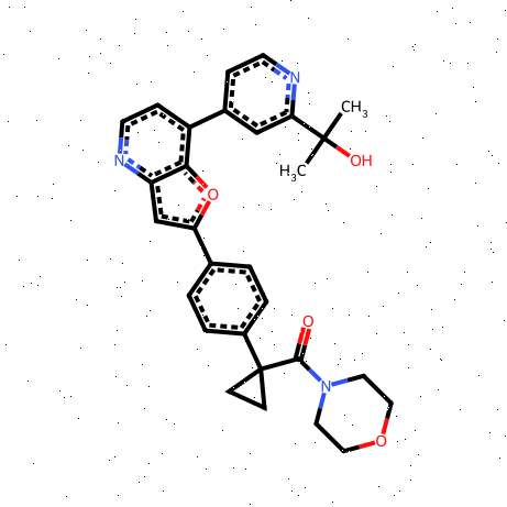 CC(C)(O)c1cc(-c2ccnc3cc(-c4ccc(C5(C(=O)N6CCOCC6)CC5)cc4)oc23)ccn1